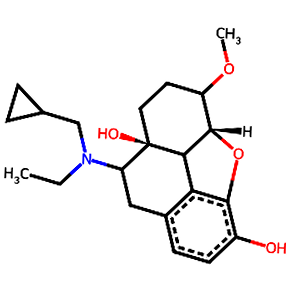 CCN(CC1CC1)C1Cc2ccc(O)c3c2C2[C@@H](O3)C(OC)CC[C@]21O